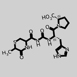 CC1SCC(C(=O)NC(=O)N[C@@H](Cc2c[nH]cn2)C(=O)N2CCC[C@H]2C(=O)O)NC1=O